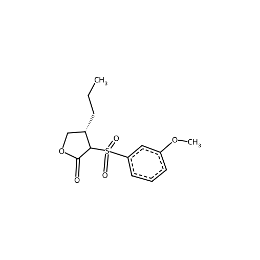 CCC[C@H]1COC(=O)C1S(=O)(=O)c1cccc(OC)c1